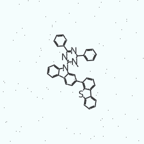 CN1C(n2c3ccccc3c3ccc(-c4cccc5c4sc4ccccc45)cc32)=NC(c2ccccc2)=NC1c1ccccc1